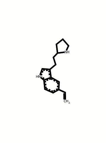 C=Cc1ccc2[nH]cc(CCC3CCCN3)c2c1